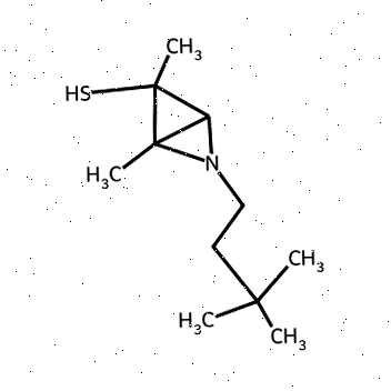 CC(C)(C)CCN1C2C(C)(S)C21C